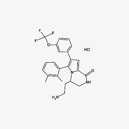 Cc1cccc(-c2c(-c3cccc(OC(F)(F)F)c3)cc3n2C(CCN)CNC3=O)c1C.Cl